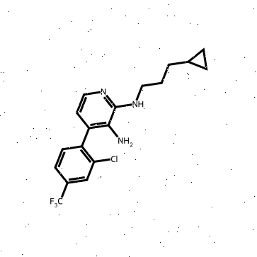 Nc1c(-c2ccc(C(F)(F)F)cc2Cl)ccnc1NCCCC1CC1